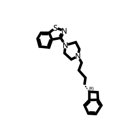 c1ccc2c(c1)C[C@H]2CCCCN1CCN(c2nsc3ccccc23)CC1